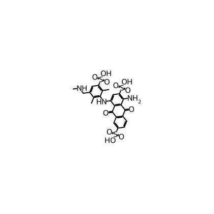 CNCc1cc(S(=O)(=O)O)c(C)c(Nc2cc(S(=O)(=O)O)c(N)c3c2C(=O)c2cc(S(=O)(=O)O)ccc2C3=O)c1C